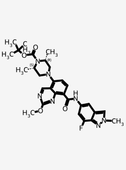 COc1ncc2c(N3C[C@@H](C)N(C(=O)OC(C)(C)C)[C@@H](C)C3)ccc(C(=O)Nc3cc(F)c4nn(C)cc4c3)c2n1